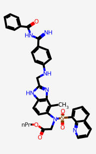 CCCOC(=O)CN(c1ccc2[nH]c(CNc3ccc(C(=N)NC(=O)c4ccccc4)cc3)nc2c1C)S(=O)(=O)c1cccc2cccnc12